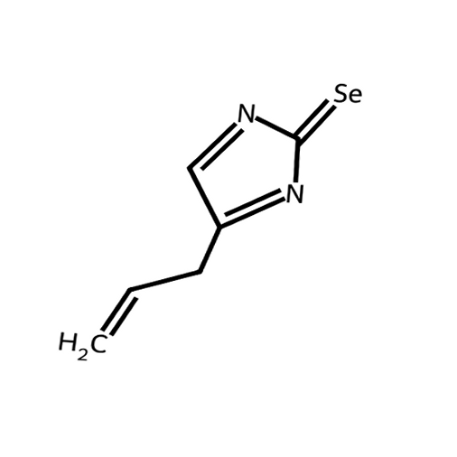 C=CCC1=NC(=[Se])N=C1